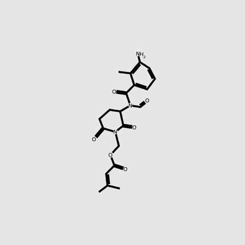 CC(C)=CC(=O)OCN1C(=O)CCC(N(C=O)C(=O)c2cccc(N)c2C)C1=O